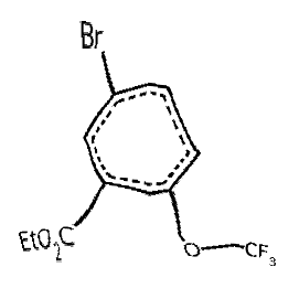 CCOC(=O)c1cc(Br)ccc1OC(F)(F)F